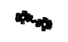 CCC1(CC)CC(CC)(OC(=O)/C=C/C(=O)OC2(CC)CC(CC)(CC)C(CC)(CC)C(CC)(CC)C2(CC)CC)C(CC)(CC)C(CC)(CC)C1(CC)CC